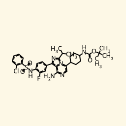 CC(C)c1nc(-c2ccc(NS(=O)(=O)c3ccccc3Cl)c(F)c2)c2c(N)ncc(C3CCC(NC(=O)OC(C)(C)C)CC3)n12